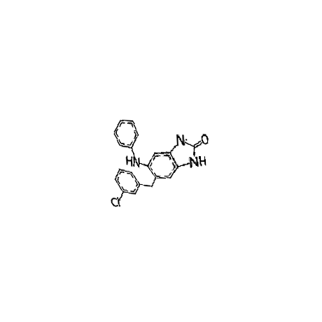 O=C1[N]c2cc(Nc3ccccc3)c(Cc3cccc(Cl)c3)cc2N1